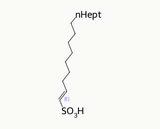 CCCCCCCCCCCCCC/C=C/S(=O)(=O)O